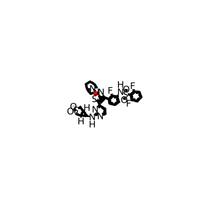 O=S1(=O)C[C@@H]2[C@H](C1)[C@H]2Nc1nccc(-c2sc(N3C4CCC3CN(C3CC3)C4)nc2-c2cccc(NS(=O)(=O)c3c(F)cccc3F)c2F)n1